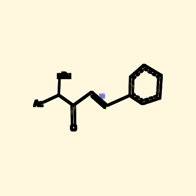 [CH2]CCCC(C(C)=O)C(=O)/C=C/c1ccccc1